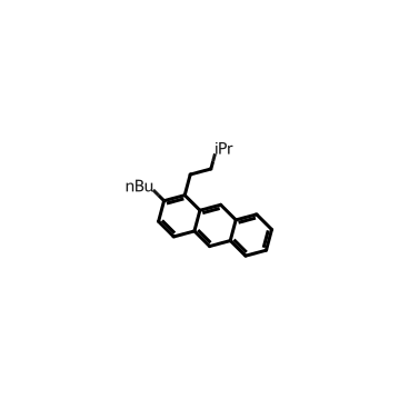 CCCCc1ccc2cc3ccccc3cc2c1CCC(C)C